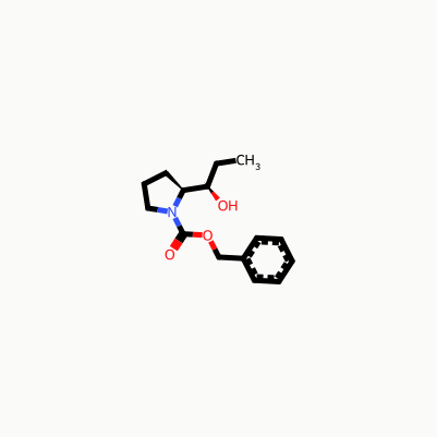 CC[C@@H](O)[C@@H]1CCCN1C(=O)OCc1ccccc1